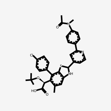 CC(=O)N(C)c1ccc(-c2cc(C3Nc4cc(C)c([C@H](OC(C)(C)C)C(=O)O)c(-c5ccc(Cl)cc5)c4S3)ccn2)cc1